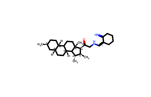 C[C@H]1CC[C@@H]2C3CC[C@@]4(C)C([C@@H]3CC[C@@H]2C1)[C@@H](C)[C@H](C)[C@@H]4C(=O)CN/C=C1/CCCCC1=N